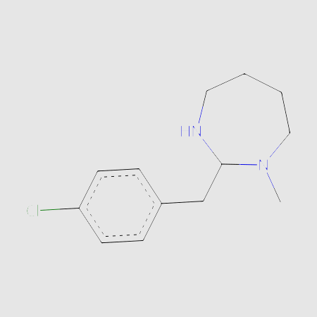 CN1CCCCNC1Cc1ccc(Cl)cc1